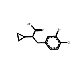 O=C(O)C(Cc1ccc(Cl)c(Br)c1)C1CC1